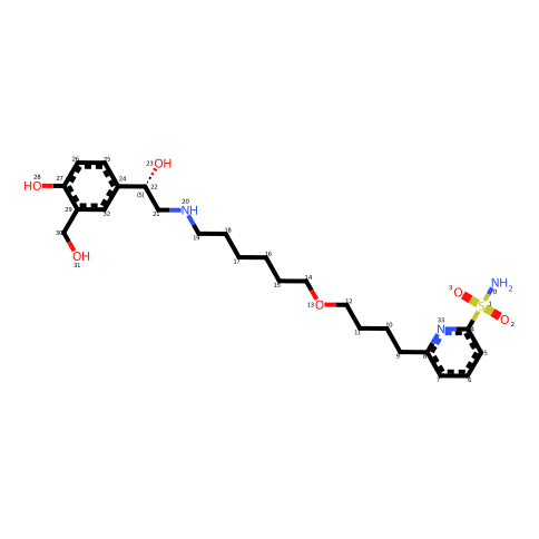 NS(=O)(=O)c1cccc(CCCCOCCCCCCNC[C@@H](O)c2ccc(O)c(CO)c2)n1